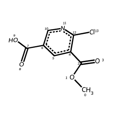 COC(=O)c1cc(C(=O)O)cnc1Cl